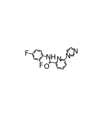 O=C(Nc1ccc(F)cc1F)c1cccc(-n2ccnc2)n1